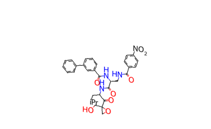 CC(C)CC(NC(=O)[C@H](CNC(=O)c1ccc([N+](=O)[O-])cc1)NC(=O)c1cccc(-c2ccccc2)c1)C(=O)C1(CO)CO1